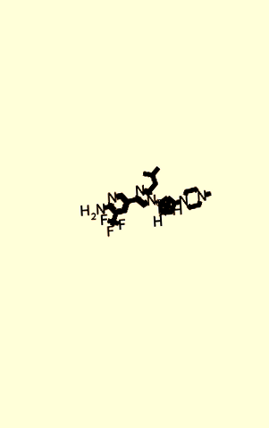 CC(C)Cc1nc(-c2cnc(N)c(C(F)(F)F)c2)cn1[C@]12C3C(N4CCN(C)CC4)C[C@@H]1[C@H]32